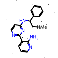 CNCC(Nc1ccnc(-c2cccnc2N)n1)c1ccccc1